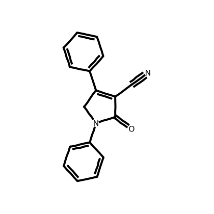 N#CC1=C(c2ccccc2)CN(c2ccccc2)C1=O